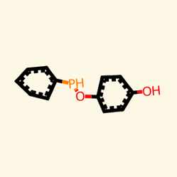 Oc1ccc(OPc2ccccc2)cc1